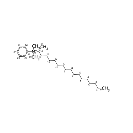 CCCCCCCCCCCCCCCCC(C)[N+](C)(C)c1ccccc1